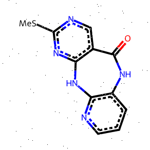 CSc1ncc2c(n1)Nc1ncccc1NC2=O